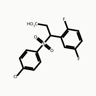 O=C(O)CC(c1cc(F)ccc1F)S(=O)(=O)c1ccc(Cl)cc1